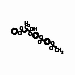 C=CC(=O)Oc1ccc(C(=O)Oc2ccc(OC(O)C(=C)CC(=O)OC3CCCCC3)cc2)cc1